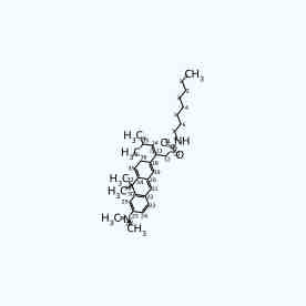 CCCCCCCCNS(=O)(=O)C/C(=C/C(C)C)C1=CC2=Cc3ccc(N(C)C)cc3C(C)(C)C2=CC1